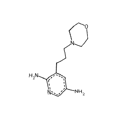 Nc1cnc(N)c(CCCN2CCOCC2)c1